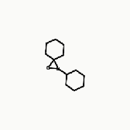 C1CCC(N2OC23CCCCC3)CC1